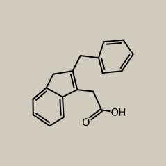 O=C(O)CC1=C(Cc2ccccc2)Cc2ccccc21